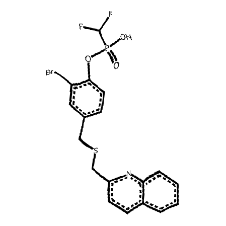 O=P(O)(Oc1ccc(CSCc2ccc3ccccc3n2)cc1Br)C(F)F